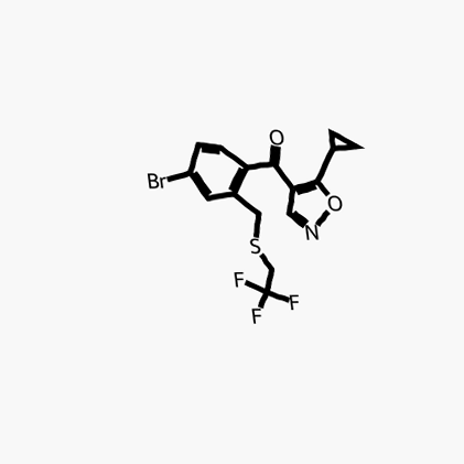 O=C(c1ccc(Br)cc1CSCC(F)(F)F)c1cnoc1C1CC1